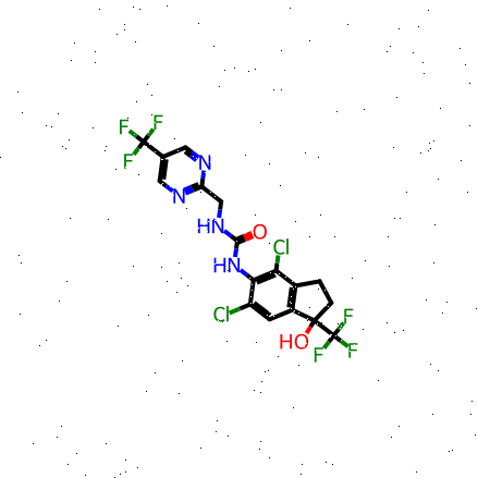 O=C(NCc1ncc(C(F)(F)F)cn1)Nc1c(Cl)cc2c(c1Cl)CCC2(O)C(F)(F)F